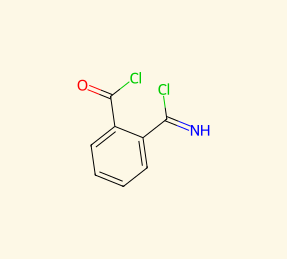 N=C(Cl)c1ccccc1C(=O)Cl